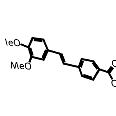 COC(=O)c1ccc(C=Cc2ccc(OC)c(OC)c2)cc1